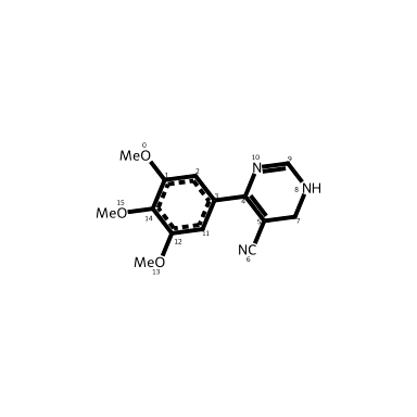 COc1cc(C2=C(C#N)CNC=N2)cc(OC)c1OC